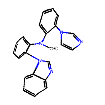 O=CN(c1ccccc1-n1ccnc1)c1ccccc1-n1cnc2ccccc21